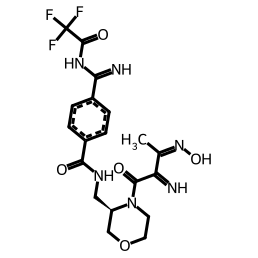 C/C(=N/O)C(=N)C(=O)N1CCOC[C@H]1CNC(=O)c1ccc(C(=N)NC(=O)C(F)(F)F)cc1